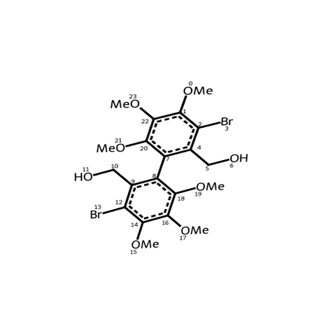 COc1c(Br)c(CO)c(-c2c(CO)c(Br)c(OC)c(OC)c2OC)c(OC)c1OC